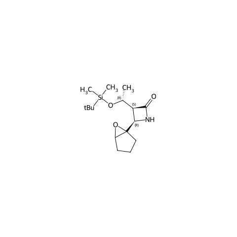 C[C@@H](O[Si](C)(C)C(C)(C)C)[C@H]1C(=O)N[C@H]1C12CCCC1O2